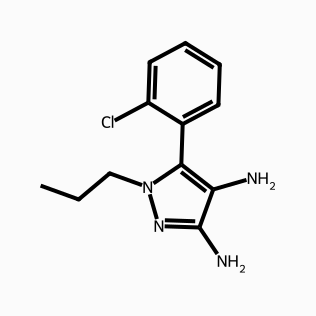 CCCn1nc(N)c(N)c1-c1ccccc1Cl